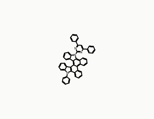 c1ccc(-c2cc(-c3ccccc3)nc(-n3c4ccccc4c4c5c(c6ccccc6c6c5c5ccccc5n6-c5ccccc5)c5ccccc5c43)n2)cc1